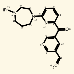 C=Cc1cncc(C(=O)c2cccc(N3CCCN(C(C)C)CC3)n2)c1